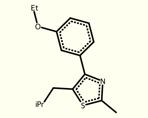 CCOc1cccc(-c2nc(C)sc2CC(C)C)c1